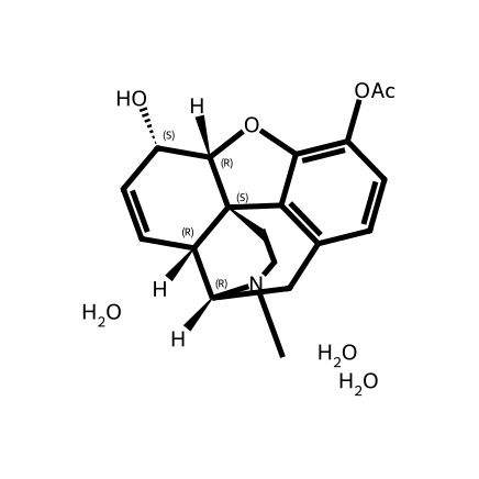 CC(=O)Oc1ccc2c3c1O[C@H]1[C@@H](O)C=C[C@H]4[C@@H](C2)N(C)CC[C@@]341.O.O.O